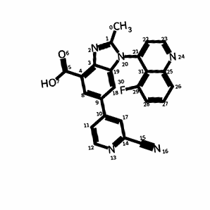 Cc1nc2c(C(=O)O)cc(-c3ccnc(C#N)c3)cc2n1-c1ccnc2cccc(F)c12